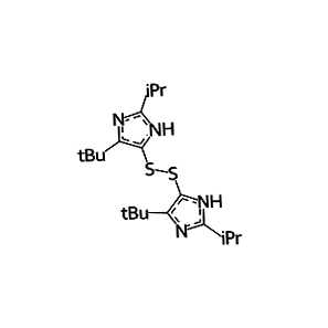 CC(C)c1nc(C(C)(C)C)c(SSc2[nH]c(C(C)C)nc2C(C)(C)C)[nH]1